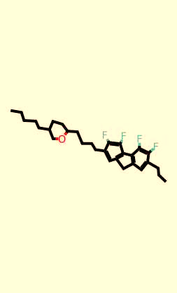 CCCCCC1CCC(CCCCc2cc3c(c(F)c2F)-c2c(cc(CCC)c(F)c2F)C3)OC1